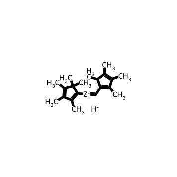 CC1=C(C)C(C)C([CH]=[Zr][C]2=C(C)C(C)=C(C)C2(C)C)=C1C.[H-]